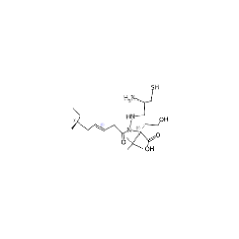 CC[C@H](C)C/C=C/CC(=O)N(NCC(N)CS)[C@@](CCO)(C(=O)O)C(C)(C)C